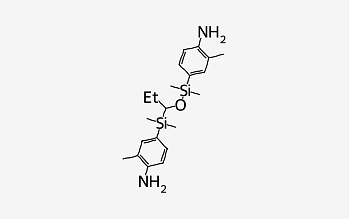 CCC(O[Si](C)(C)c1ccc(N)c(C)c1)[Si](C)(C)c1ccc(N)c(C)c1